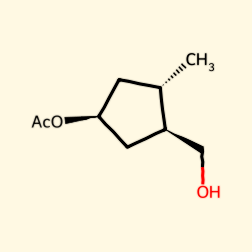 CC(=O)O[C@@H]1C[C@H](CO)[C@@H](C)C1